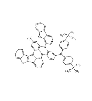 Cc1cc2c3c(c1)-n1c4c(cccc4c4oc5c(c41)=CCCC=5)B3c1ccc(N(C3=CC=C(C(C)(C)C)CC3)c3ccc(C(C)(C)C)cc3)cc1N2c1cccc2c1oc1ccccc12